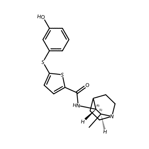 C[C@H]1[C@H](NC(=O)c2ccc(Sc3cccc(O)c3)s2)C2CCN1CC2